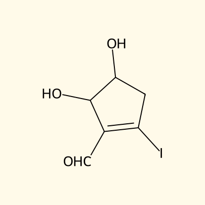 O=CC1=C(I)CC(O)C1O